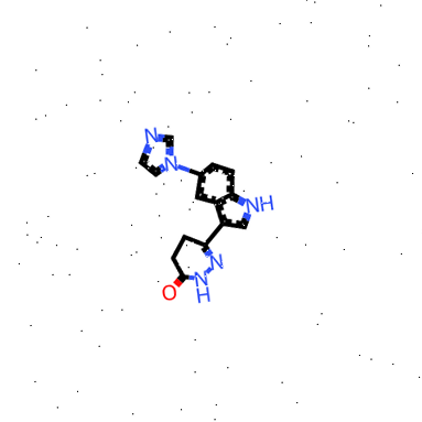 O=C1CCC(c2c[nH]c3ccc(-n4ccnc4)cc23)=NN1